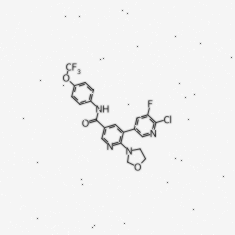 O=C(Nc1ccc(OC(F)(F)F)cc1)c1cnc(N2CCOC2)c(-c2cnc(Cl)c(F)c2)c1